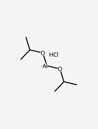 CC(C)[O][Al][O]C(C)C.Cl